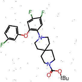 CC(C)(C)OC(=O)N1CCC2(CC1)CCN(c1cc(F)c(F)cc1Oc1cccc(F)c1)CC2